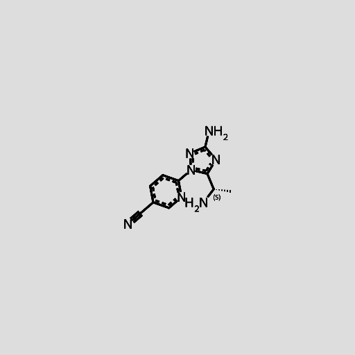 C[C@H](N)c1nc(N)nn1-c1ccc(C#N)cn1